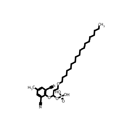 CCCCCCCCCCCCCCCCCCOCCC(Oc1c(C#N)cc(C)cc1C#N)OP(=O)(O)O